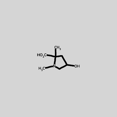 CN1CC(O)CC1(C)C(=O)O